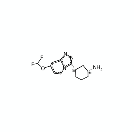 N[C@@H]1CCC[C@H](c2nnc3cc(OC(F)F)ccn23)C1